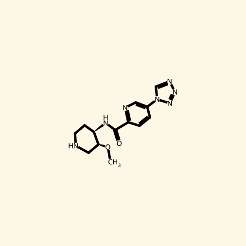 CO[C@H]1CNCC[C@H]1NC(=O)c1ccc(-n2cnnn2)cn1